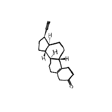 C#C[C@@H]1CC[C@@H]2[C@@H]1CC[C@@H]1C3=C(CC[C@@H]21)CC(=O)CC3